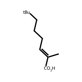 CC(=CCCCC(C)(C)C)C(=O)O